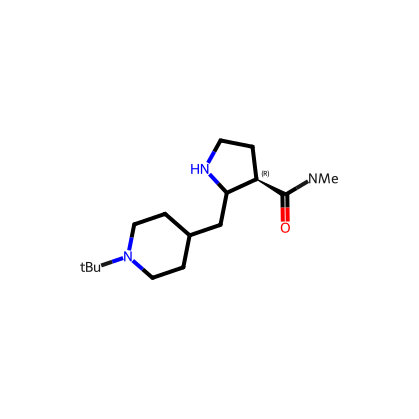 CNC(=O)[C@@H]1CCNC1CC1CCN(C(C)(C)C)CC1